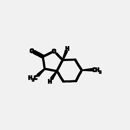 C[C@H]1CC[C@H]2[C@@H](C1)OC(=O)[C@@H]2C